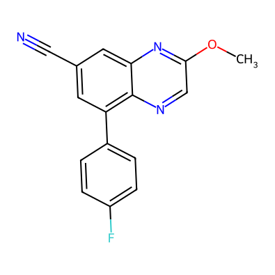 COc1cnc2c(-c3ccc(F)cc3)cc(C#N)cc2n1